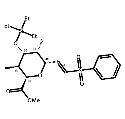 CC[Si](CC)(CC)O[C@@H]1[C@H](C)[C@H](/C=C/S(=O)(=O)c2ccccc2)O[C@@H](C(=O)OC)[C@H]1C